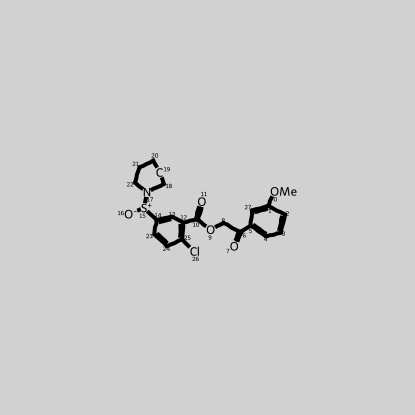 COc1cccc(C(=O)COC(=O)c2cc([S+]([O-])N3CCCCC3)ccc2Cl)c1